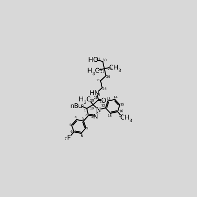 CCCCC1C(c2ccc(F)cc2)=NN(c2cccc(C)c2)C1(C)C(=O)NCCCC(C)(C)CO